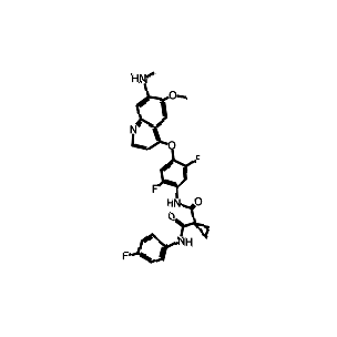 CNc1cc2nccc(Oc3cc(F)c(NC(=O)C4(C(=O)Nc5ccc(F)cc5)CC4)cc3F)c2cc1OC